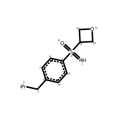 CC(C)Cc1ccc(S(=N)(=O)C2COC2)cc1